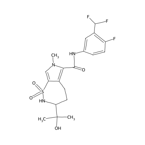 Cn1cc2c(c1C(=O)Nc1ccc(F)c(C(F)F)c1)CCC(C(C)(C)O)NS2(=O)=O